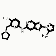 Cc1ccc(Nc2cc3nc(-n4nccc4C)sc3cn2)nc1CN1CCCC1